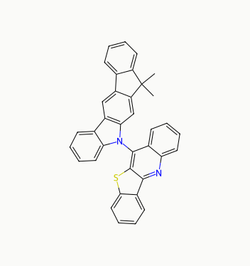 CC1(C)c2ccccc2-c2cc3c4ccccc4n(-c4c5ccccc5nc5c4sc4ccccc45)c3cc21